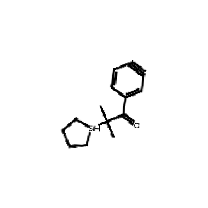 CC(C)(C(=O)c1cc#ccc1)[SiH]1CCCC1